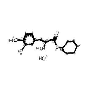 Cl.N[C@@H](Cc1ccc(O)c(O)c1)C(=O)OC1CCCCC1